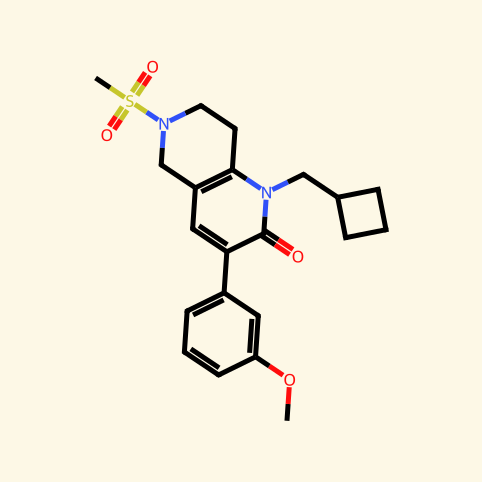 COc1cccc(-c2cc3c(n(CC4CCC4)c2=O)CCN(S(C)(=O)=O)C3)c1